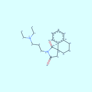 CCN(CC)CCCN1C(=O)CC2(CCCc3ccccc32)C1=O